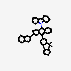 CC1(C)c2ccccc2-c2ccc(-c3c4ccccc4c(-n4c5ccccc5c5ccccc54)c4ccc(-c5ccc6ccccc6c5)cc34)cc21